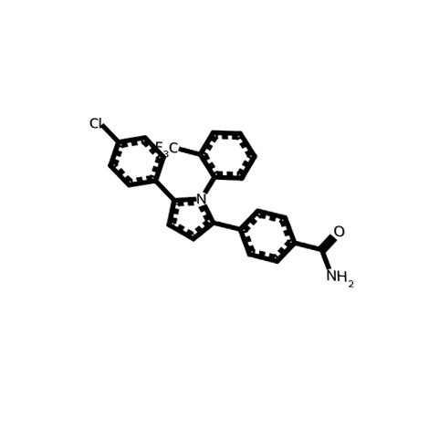 NC(=O)c1ccc(-c2ccc(-c3ccc(Cl)cc3)n2-c2ccccc2C(F)(F)F)cc1